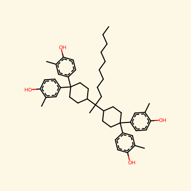 CCCCCCCCCC(C)(C1CCC(c2ccc(O)c(C)c2)(c2ccc(O)c(C)c2)CC1)C1CCC(c2ccc(O)c(C)c2)(c2ccc(O)c(C)c2)CC1